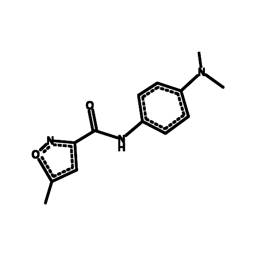 Cc1cc(C(=O)Nc2ccc(N(C)C)cc2)no1